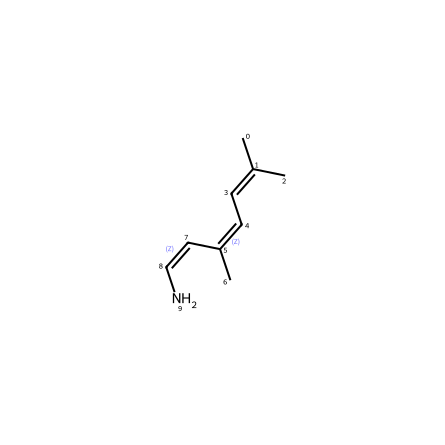 CC(C)=C/C=C(C)\C=C/N